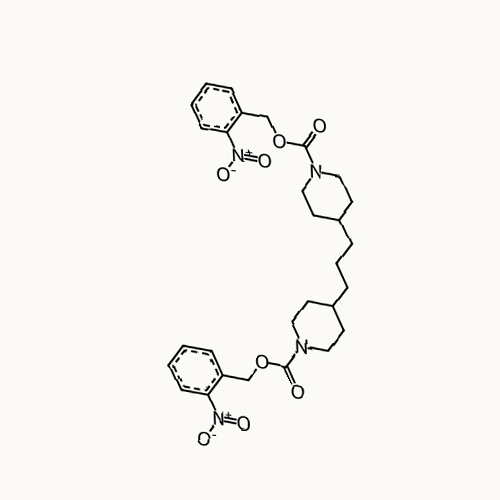 O=C(OCc1ccccc1[N+](=O)[O-])N1CCC(CCCC2CCN(C(=O)OCc3ccccc3[N+](=O)[O-])CC2)CC1